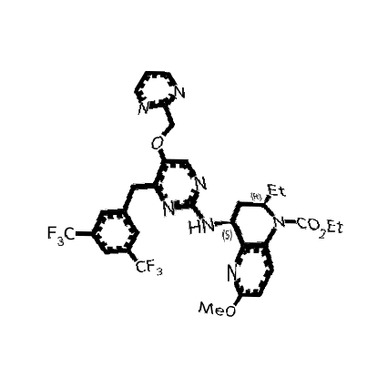 CCOC(=O)N1c2ccc(OC)nc2[C@@H](Nc2ncc(OCc3ncccn3)c(Cc3cc(C(F)(F)F)cc(C(F)(F)F)c3)n2)C[C@H]1CC